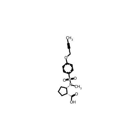 CC#CCOc1ccc(S(=O)(=O)N(C)[C@H]2CCC[C@H]2C(=O)O)cc1